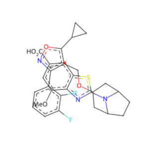 COc1cc(C(=O)O)cc2sc(N3C4CCC3CC(OCc3c(-c5cccc(F)c5F)noc3C3CC3)C4)nc12